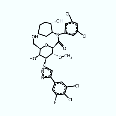 CO[C@@H]1[C@@H](n2cc(-c3cc(F)c(Cl)c(Cl)c3)nn2)[C@@H](O)[C@@H](CO)O[C@H]1C(=O)N(c1cc(Cl)cc(Cl)c1)[C@H]1CCCC[C@@H]1O